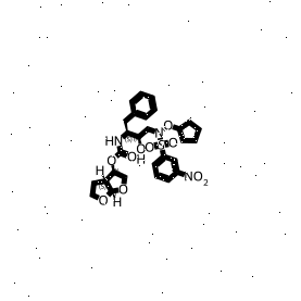 O=C(N[C@@H](Cc1ccccc1)[C@H](O)CN(OC1CCCC1)S(=O)(=O)c1cccc([N+](=O)[O-])c1)O[C@H]1CO[C@H]2OCC[C@H]21